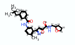 Cc1ccc(NC(=O)c2cccc(CC(C)(C)C)c2)cc1-c1cc(C(=O)NCC2CCCO2)on1